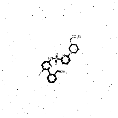 C=Cc1ccccc1-c1nc(NS(=O)(=O)c2cccc(N3CCC[C@@H](CC(=O)OCC)C3)n2)ccc1C(F)(F)F